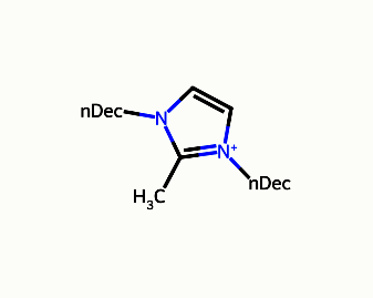 [CH2]CCCCCCCCC[n+]1ccn(CCCCCCCCCC)c1C